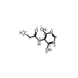 CCC(=O)Nc1c(O)ncnc1O